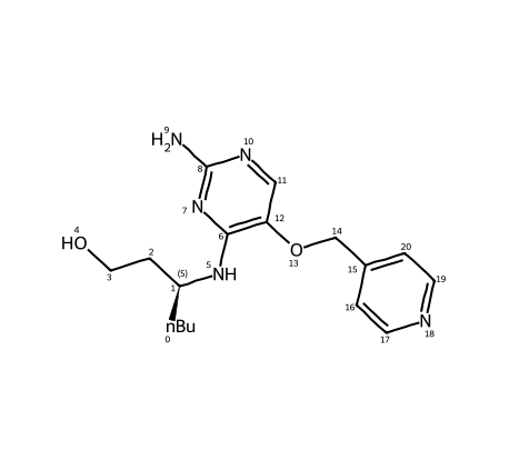 CCCC[C@@H](CCO)Nc1nc(N)ncc1OCc1ccncc1